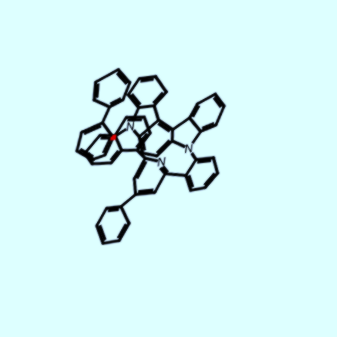 c1ccc(-c2cc(-c3ccccc3-n3c4ccccc4c4c5c6ccccc6n(-c6ccccc6-c6ccccc6)c5ccc43)nc(-c3cccc4ccccc34)c2)cc1